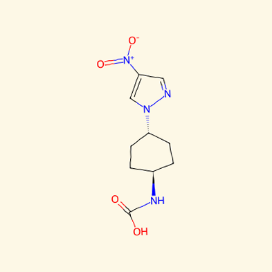 O=C(O)N[C@H]1CC[C@H](n2cc([N+](=O)[O-])cn2)CC1